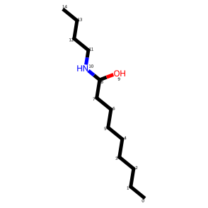 CCCCCCCCC(O)NCCCC